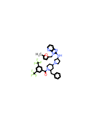 Cc1ccc(Cn2c(NC3CCN(C4CCN(C(=O)c5cc(C(F)(F)F)cc(C(F)(F)F)c5)C(Cc5ccccc5)C4)C3)nc3cccnc32)o1